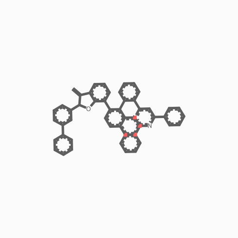 C=C1c2cccc(-c3ccc4ccccc4c3-c3ccccc3-c3cc(-c4ccccc4)nc(-c4ccccc4)n3)c2OC1c1cccc(-c2ccccc2)c1